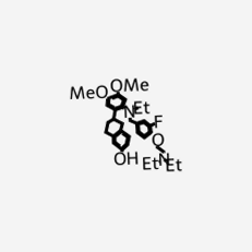 CCN(CC)CCOc1ccc(CN(CC)c2cc(OC)c(OC)cc2C2CCc3cc(O)ccc3C2)cc1F